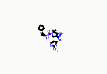 CC1(C)c2[nH]nc(Nc3ccnc(C(F)(F)F)n3)c2CN1C(=O)N[C@H]1C[C@@H]1c1ccccc1